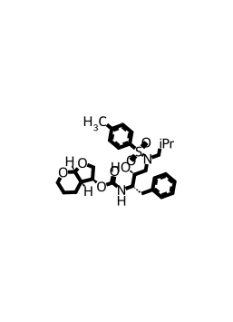 Cc1ccc(S(=O)(=O)N(CC(C)C)C[C@@H](O)[C@H](Cc2ccccc2)NC(=O)O[C@@H]2CO[C@@H]3OCCC[C@@H]32)cc1